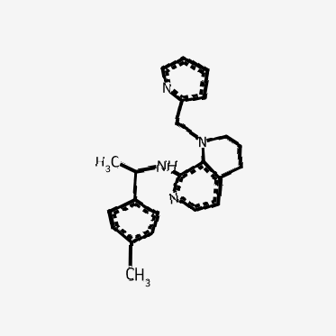 Cc1ccc(C(C)Nc2nccc3c2N(Cc2ccccn2)CCC3)cc1